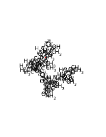 CC[C@H](C)[C@@H]([C@@H](CC(=O)N1CCC[C@H]1[C@H](OC)[C@@H](C)C(=O)N[C@H](C)[C@@H](O)c1ccccc1)OC)N(C)C(=O)[C@@H](NC(=O)[C@H](C(C)C)N(C)C(=O)OCc1ccc(NC(=O)[C@H](CCCNC(N)=O)NC(=O)[C@@H](NC(=O)[C@H](N)CCC(=O)NC[C@H](O)[C@H]2OC(C)(C)O[C@@H]2[C@H]2COC(C)(C)O2)C(C)C)cc1)C(C)C